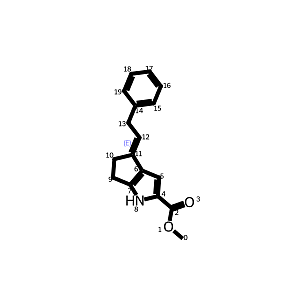 COC(=O)c1cc2c([nH]1)CC/C2=C\Cc1ccccc1